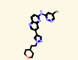 CC(C)c1cnnc(Nc2ccc3ncc(-c4cnn(CCC5CCOCC5)c4)cc3n2)c1